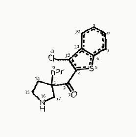 CCCC1(C(=O)c2sc3ccccc3c2Cl)CCNC1